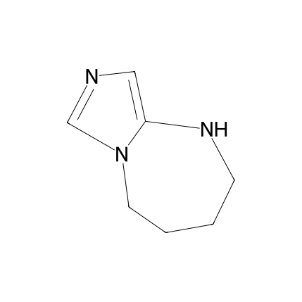 c1ncn2c1NCCCC2